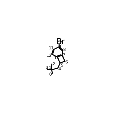 CC(C)(C)CC1Cc2cc(Br)ccc21